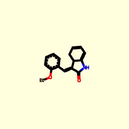 CCOc1ccccc1C=C1C(=O)NC2=CC=CCC21